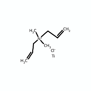 C=CC[N+](C)(C)CC=C.[Cl-].[Ti]